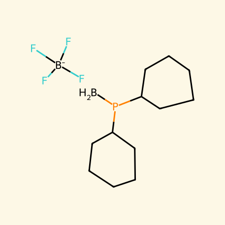 BP(C1CCCCC1)C1CCCCC1.F[B-](F)(F)F